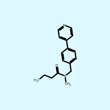 CCCC(=O)N(C)Cc1ccc(-c2ccncc2)cc1